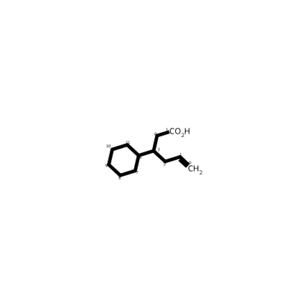 C=CCC(CC(=O)O)C1CCCCC1